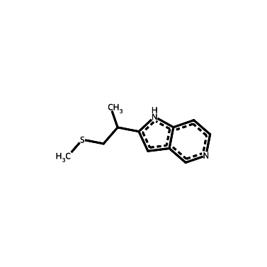 CSCC(C)c1cc2cnccc2[nH]1